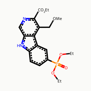 CCOC(=O)c1ncc2[nH]c3ccc(P(=O)(OCC)OCC)cc3c2c1COC